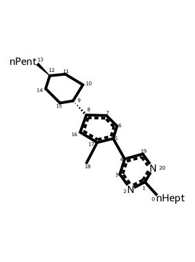 CCCCCCCc1ncc(-c2ccc([C@H]3CC[C@H](CCCCC)CC3)cc2C)cn1